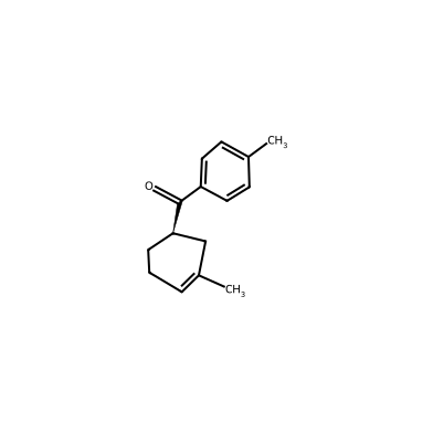 CC1=CCC[C@@H](C(=O)c2ccc(C)cc2)C1